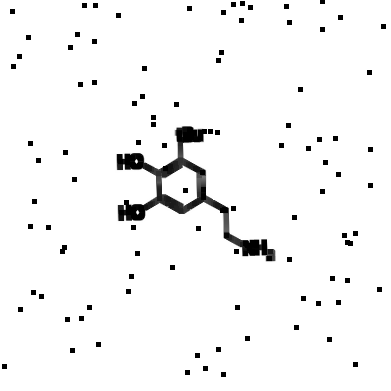 CC(C)(C)c1cc(CCN)cc(O)c1O